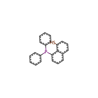 Sc1cccc2cccc(P(c3ccccc3)c3ccccc3)c12